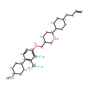 C=CCCC1CCC(C2CCC(COc3ccc(C4CCC(CCC)CC4)c(C(F)F)c3F)CO2)CC1